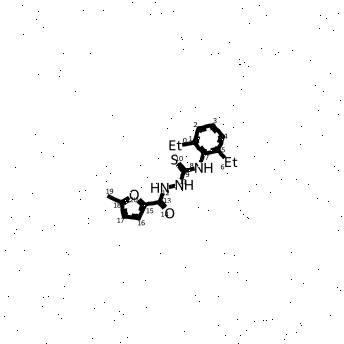 CCc1cccc(CC)c1NC(=S)NNC(=O)c1ccc(C)o1